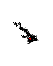 COCNCOC(C)(C)CCOC(=O)OC(C)OC(=O)c1ccc(NC(=O)[C@@H]2NC(CC(C)(C)C)[C@](C#N)(c3ccc(Cl)cc3F)C2c2cccc(Cl)c2F)c(OC)c1